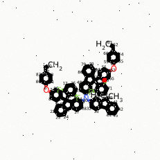 C=Cc1ccc(Oc2ccc(C3(c4c(F)cccc4F)c4ccccc4-c4ccc(N(c5ccc6c(c5)C(C)(C)c5ccccc5-6)c5ccc6c(c5)C(c5ccc(Oc7ccc(C=C)cc7)cc5)(c5c(F)cccc5F)c5ccccc5-6)cc43)cc2)cc1